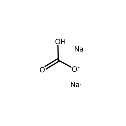 O=C([O-])O.[Na+].[Na]